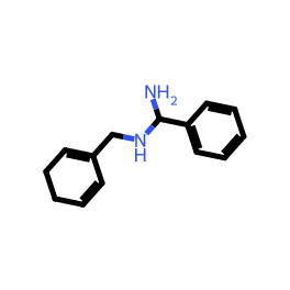 NC(NCC1=CCCC=C1)c1ccccc1